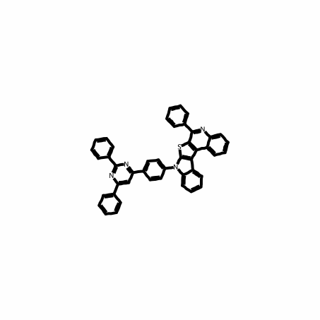 c1ccc(-c2cc(-c3ccc(-n4c5ccccc5c5c6c(sc54)c(-c4ccccc4)nc4ccccc46)cc3)nc(-c3ccccc3)n2)cc1